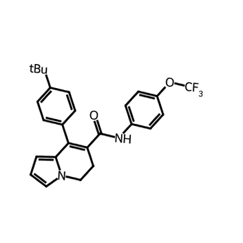 CC(C)(C)c1ccc(C2=C(C(=O)Nc3ccc(OC(F)(F)F)cc3)CCn3cccc32)cc1